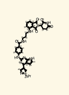 CCCn1cc(-c2nc(Nc3ccc(C(=O)NCCCNc4cccc5c4C(=O)N(C4CCC(=O)NC4=O)C5=O)cc3)nc3[nH]ccc23)cn1